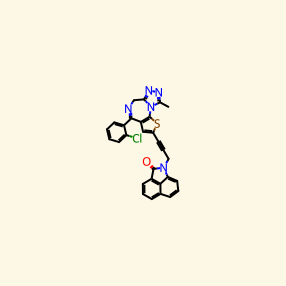 Cc1nnc2n1-c1sc(C#CCN3C(=O)c4cccc5cccc3c45)cc1C(c1ccccc1Cl)=NC2